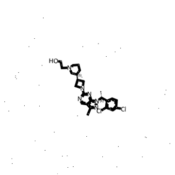 Cc1nn([C@H](C)c2ccc(Cl)cc2Cl)c2nc(N3CC([C@@H]4CCCN(CCO)C4)C3)ncc12